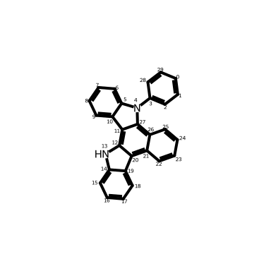 c1ccc(-n2c3ccccc3c3c4[nH]c5ccccc5c4c4ccccc4c32)cc1